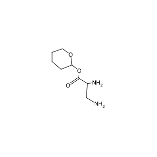 NCC(N)C(=O)OC1CCCCO1